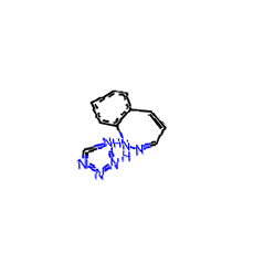 C1=Cc2ccccc2NN=C1.c1nnn[nH]1